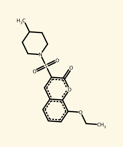 CCOc1cccc2cc(S(=O)(=O)N3CCC(C)CC3)c(=O)oc12